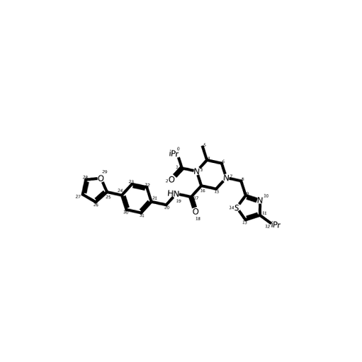 CC(C)C(=O)N1C(C)CN(Cc2nc(C(C)C)cs2)CC1C(=O)NCc1ccc(-c2ccco2)cc1